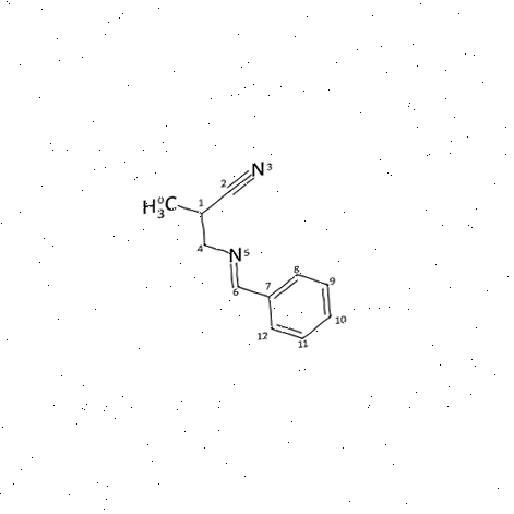 CC(C#N)C/N=C/c1ccccc1